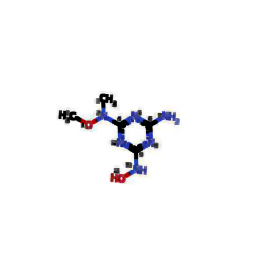 CON(C)c1nc(N)nc(NO)n1